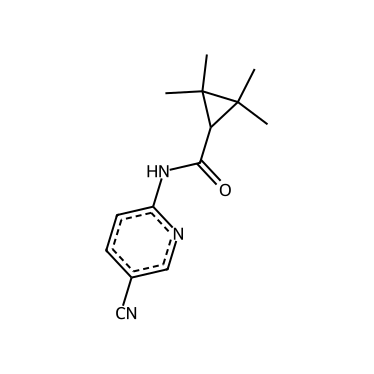 CC1(C)C(C(=O)Nc2ccc(C#N)cn2)C1(C)C